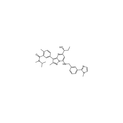 CC[C@H](O)c1cc(NCc2cccc(-c3nccn3C)c2)n2nc(C)c(-c3ccc(C)c(C(=O)N(C)C(C)C)c3)c2n1